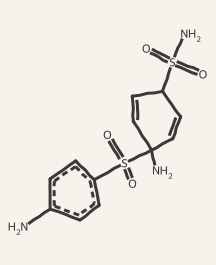 Nc1ccc(S(=O)(=O)C2(N)C=CC(S(N)(=O)=O)C=C2)cc1